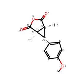 COc1ccc([C@H]2[C@@H]3C(=O)OC(=O)[C@@H]32)cc1